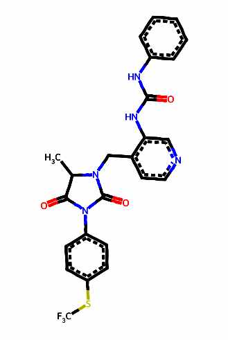 CC1C(=O)N(c2ccc(SC(F)(F)F)cc2)C(=O)N1Cc1ccncc1NC(=O)Nc1ccccc1